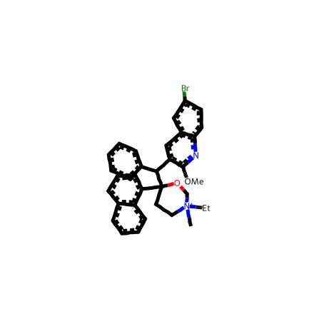 CC[N+]1(C)CCC(c2cccc3ccccc23)(C(c2ccccc2)c2cc3cc(Br)ccc3nc2OC)OC1